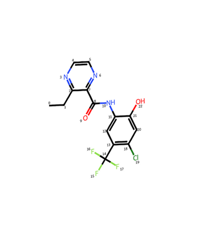 CCc1nccnc1C(=O)Nc1cc(C(F)(F)F)c(Cl)cc1O